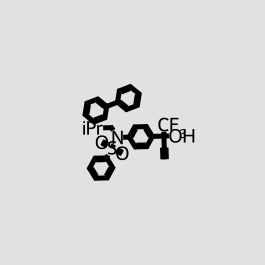 C#CC(O)(c1ccc(N(CC(C)C)S(=O)(=O)c2ccccc2)cc1)C(F)(F)F.c1ccc(-c2ccccc2)cc1